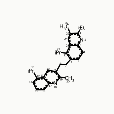 CCc1nc2ccc(CCc3cc4c(C(C)C)cccc4nc3C)c(C(C)C)c2cc1C